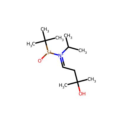 CC(C)/[N+](=C\CC(C)(C)O)[S+]([O-])C(C)(C)C